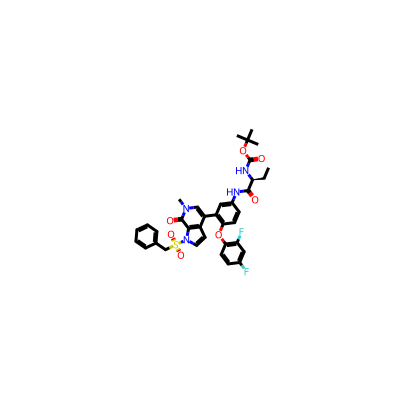 CC[C@H](NC(=O)OC(C)(C)C)C(=O)Nc1ccc(Oc2ccc(F)cc2F)c(-c2cn(C)c(=O)c3c2ccn3S(=O)(=O)Cc2ccccc2)c1